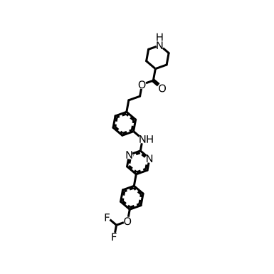 O=C(OCCc1cccc(Nc2ncc(-c3ccc(OC(F)F)cc3)cn2)c1)C1CCNCC1